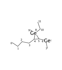 CCCC[CH]1[CH]([Ge][CH3])[Ge]1([CH3])[CH2]C